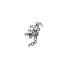 CC(c1c[nH]c2ccccc12)C(NC(=O)N1CCC(Oc2ccc(F)cc2)CC1)C(=O)N(C)c1cccc(CN(C)C)c1